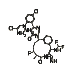 CC1C(=O)N/C(C=N)=C(/NC(F)F)c2cccc(c2)C(n2cnc(-c3cc(Cl)ccc3N(N)/C=C(\N)Cl)cc2=O)CCC1F